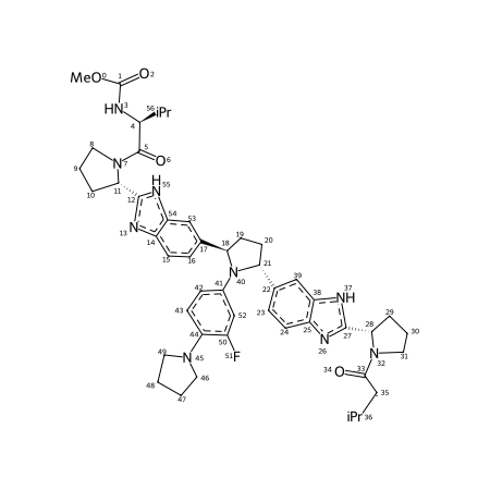 COC(=O)N[C@H](C(=O)N1CCC[C@H]1c1nc2ccc([C@H]3CC[C@H](c4ccc5nc([C@@H]6CCCN6C(=O)[CH]C(C)C)[nH]c5c4)N3c3ccc(N4CCCC4)c(F)c3)cc2[nH]1)C(C)C